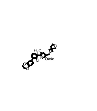 COc1nc(-c2cccc(-c3ccc4c(c3)OCCO4)c2Cl)c(C)cc1CN1CC2(CCOC2)C1